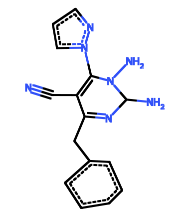 N#CC1=C(n2cccn2)N(N)C(N)N=C1Cc1ccccc1